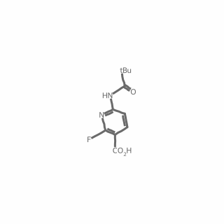 CC(C)(C)C(=O)Nc1ccc(C(=O)O)c(F)n1